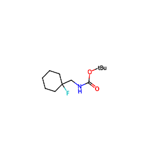 CC(C)(C)OC(=O)NCC1(F)CCCCC1